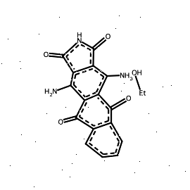 CCO.Nc1c2c(=O)[nH]c(=O)c2c(N)c2c(=O)c3ccccc3c(=O)c12